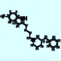 Fc1ccc2[nH]c(CCCCN3CCCC(Cc4ccccc4)C3)cc2c1